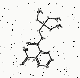 CCC(CC)(CC)COC(=O)c1ccccc1C(=O)O